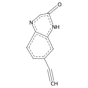 C#Cc1ccc2ncc(=O)[nH]c2c1